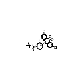 CC(C)(C)OC(=O)N1CCC[C@@H](N2c3ccc(Cl)cc3S(=O)(=O)c3cc(Cl)ccc32)[C@H](O)C1